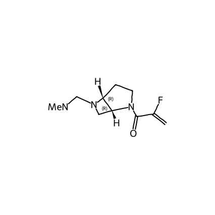 C=C(F)C(=O)N1CC[C@@H]2[C@H]1CN2CNC